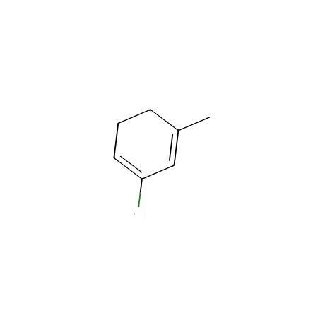 CC1=CC(Cl)=CC[CH]1